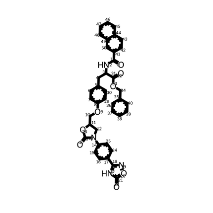 O=C(NC(Cc1ccc(OCC2CN(c3ccc(-c4noc(=O)[nH]4)cc3)C(=O)O2)cc1)C(=O)OCc1ccccc1)c1ccc2ccccc2c1